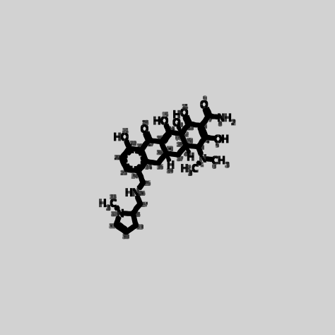 CN(C)C1C(O)=C(C(N)=O)C(=O)[C@@]2(O)C(O)=C3C(=O)c4c(O)ccc(CNCC5CC=CN5C)c4C[C@H]3C[C@@H]12